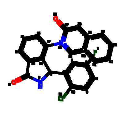 O=C1NC(c2cc(F)ccc2Cl)c2c1cccc2-n1cc2ccccc2cc1=O